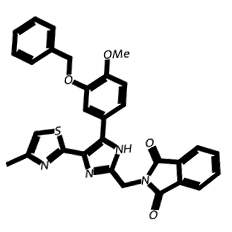 COc1ccc(-c2[nH]c(CN3C(=O)c4ccccc4C3=O)nc2-c2nc(C)cs2)cc1OCc1ccccc1